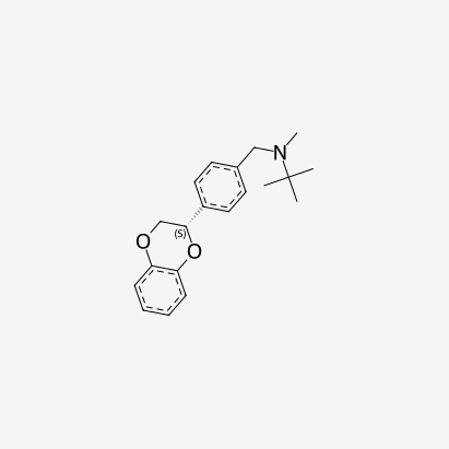 CN(Cc1ccc([C@H]2COc3ccccc3O2)cc1)C(C)(C)C